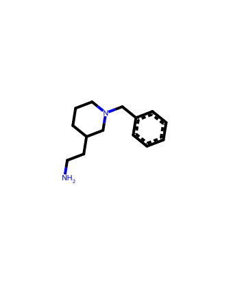 NCCC1CCCN(Cc2ccccc2)C1